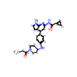 O=C(Nc1cc(-c2ccc(NC3CCN(C(=O)CC(F)(F)F)CC3)cc2)c2cc[nH]c2n1)C1CC1